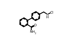 NC(=O)c1ccccc1-c1ccc(CNCl)cc1